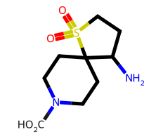 NC1CCS(=O)(=O)C12CCN(C(=O)O)CC2